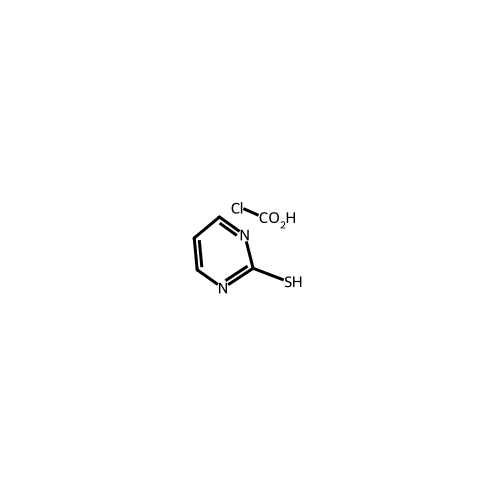 O=C(O)Cl.Sc1ncccn1